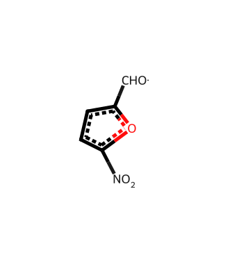 O=[C]c1ccc([N+](=O)[O-])o1